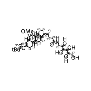 CO[C@@H]1C[C@@H]2C[C@H](O[Si](C)(C)C(C)(C)C)CC[C@]2(C)[C@H]2CC[C@]3(C)[C@@H]([C@H](C)CCC(=O)NC[C@H](O)[C@@H](O)[C@H](O)[C@H](O)CO)CC[C@H]3[C@H]12